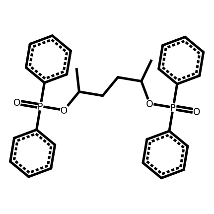 CC(CCC(C)OP(=O)(c1ccccc1)c1ccccc1)OP(=O)(c1ccccc1)c1ccccc1